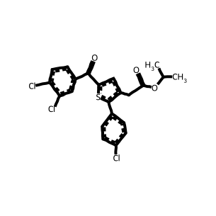 CC(C)OC(=O)Cc1cc(C(=O)c2ccc(Cl)c(Cl)c2)sc1-c1ccc(Cl)cc1